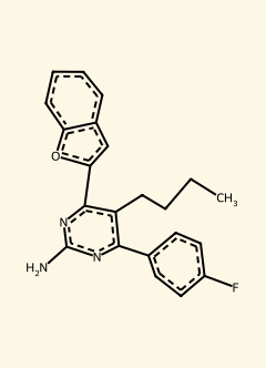 CCCCc1c(-c2ccc(F)cc2)nc(N)nc1-c1cc2ccccc2o1